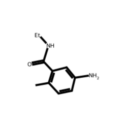 CCNC(=O)c1cc(N)ccc1C